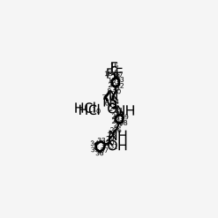 Cl.Cl.O=C(Cc1nccn1Cc1ccc(C(F)(F)F)cc1)Nc1ccc(CCNCC(O)c2ccccc2)cc1